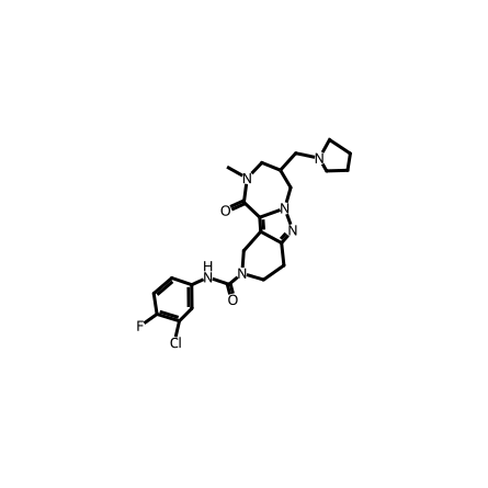 CN1CC(CN2CCCC2)Cn2nc3c(c2C1=O)CN(C(=O)Nc1ccc(F)c(Cl)c1)CC3